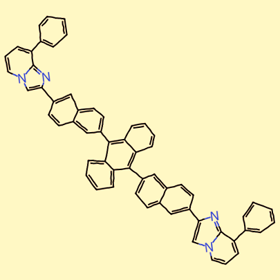 c1ccc(-c2cccn3cc(-c4ccc5cc(-c6c7ccccc7c(-c7ccc8cc(-c9cn%10cccc(-c%11ccccc%11)c%10n9)ccc8c7)c7ccccc67)ccc5c4)nc23)cc1